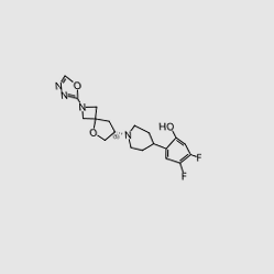 Oc1cc(F)c(F)cc1C1CCN([C@@H]2COC3(C2)CN(c2nnco2)C3)CC1